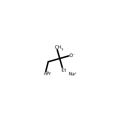 CCCCC(C)([O-])CC.[Na+]